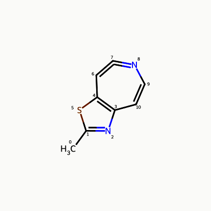 Cc1nc2c(s1)C=C=NC=C2